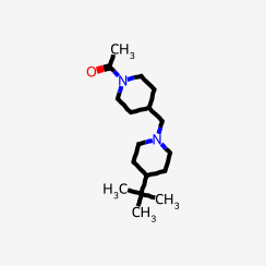 CC(=O)N1CCC(CN2CCC(C(C)(C)C)CC2)CC1